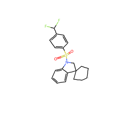 O=S(=O)(c1ccc(C(F)F)cc1)N1CC2(CC[CH]CC2)c2ccccc21